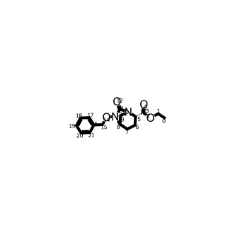 CCOC(=O)[C@@H]1CCC2CN1C(=O)N2OCc1ccccc1